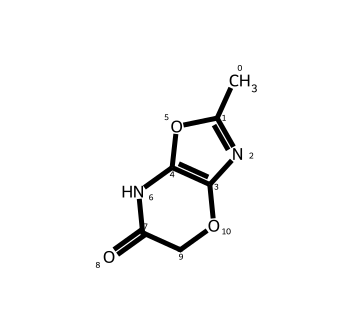 Cc1nc2c(o1)NC(=O)CO2